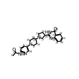 CC(=O)Nc1ccc(N2CCC(N3CCC(c4nc5ccccc5c(=O)[nH]4)C3)CC2)cn1